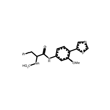 COc1cc(NC(=O)C(CC(C)C)NC(=O)O)ccc1-c1cncs1